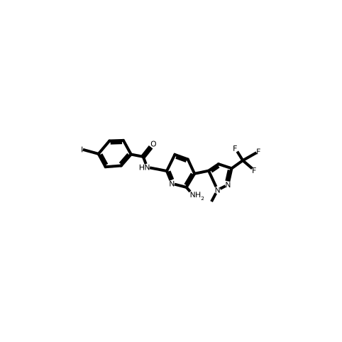 Cn1nc(C(F)(F)F)cc1-c1ccc(NC(=O)c2ccc(I)cc2)nc1N